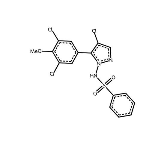 COc1c(Cl)cc(-c2c(Cl)cnn2NS(=O)(=O)c2ccccc2)cc1Cl